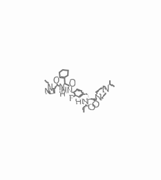 CCC(=O)N[C@H](Cc1ccc(NC(=O)[C@@H](NC(=O)c2ccnn2CC)C2CCCCC2)c(F)c1)C(=O)N1CCN(C(C)C)CC1